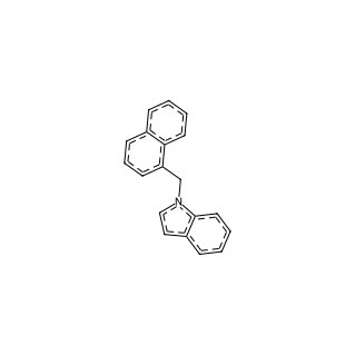 c1ccc2c(Cn3ccc4ccccc43)cccc2c1